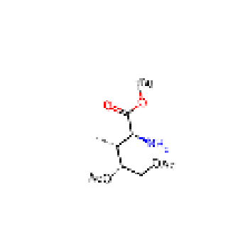 CC(=O)OC[C@H](OC(C)=O)[C@H](C)[C@H](N)C(=O)OC(C)(C)C